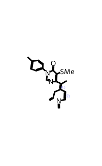 C=CCC(/C=C\N=C)=C(/C)c1ncn(-c2ccc(C)cc2)c(=O)c1SC